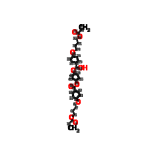 C=CC(=O)OCCCCOc1ccc(C(=O)Oc2ccc(OC(O)c3ccc(OCCCCOC(=O)C=C)cc3)cc2)cc1